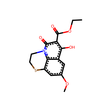 CCOC(=O)c1c(O)c2cc(OC)cc3c2n(c1=O)CCS3